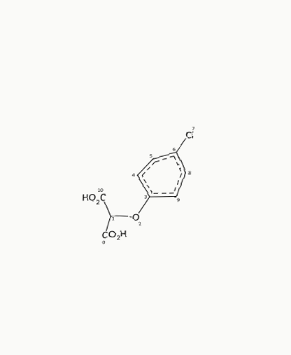 O=C(O)C(Oc1ccc(Cl)cc1)C(=O)O